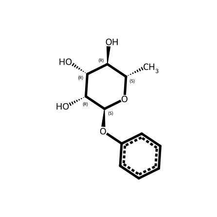 C[C@@H]1O[C@@H](Oc2ccccc2)[C@H](O)[C@H](O)[C@H]1O